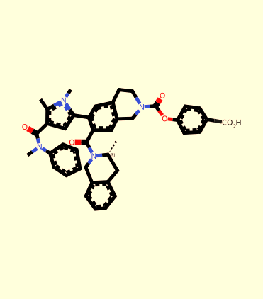 Cc1c(C(=O)N(C)c2ccccc2)cc(-c2cc3c(cc2C(=O)N2Cc4ccccc4C[C@H]2C)CN(C(=O)Oc2ccc(C(=O)O)cc2)CC3)n1C